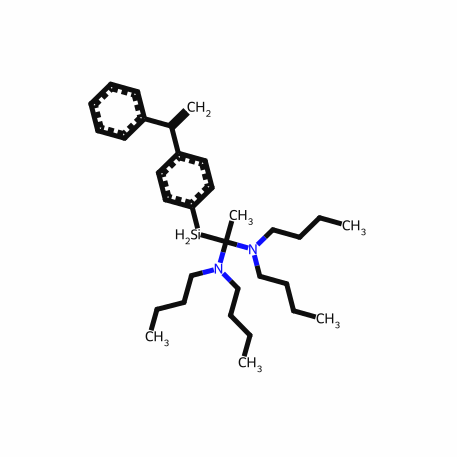 C=C(c1ccccc1)c1ccc([SiH2]C(C)(N(CCCC)CCCC)N(CCCC)CCCC)cc1